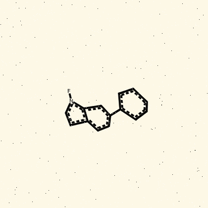 Fn1ccc2ccc(-c3ccccc3)cc21